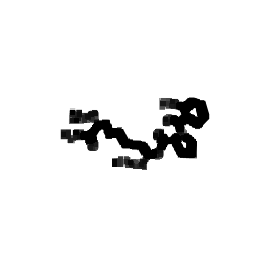 CCCCCC[C@H](CCCCC[C@@H](OC)C(N)=O)OC(=O)[C@@H]1CC=CN1C(=O)c1ccccc1O